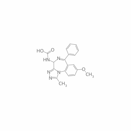 COc1ccc2c(c1)C(c1ccccc1)=NC(NC(=O)O)c1nnc(C)n1-2